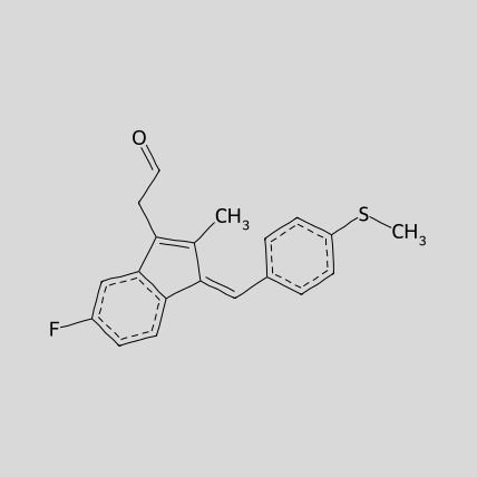 CSc1ccc(/C=C2\C(C)=C(CC=O)c3cc(F)ccc32)cc1